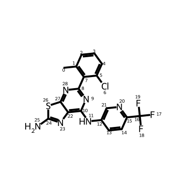 Cc1cccc(Cl)c1-c1nc(Nc2ccc(C(F)(F)F)nc2)c2nc(N)sc2n1